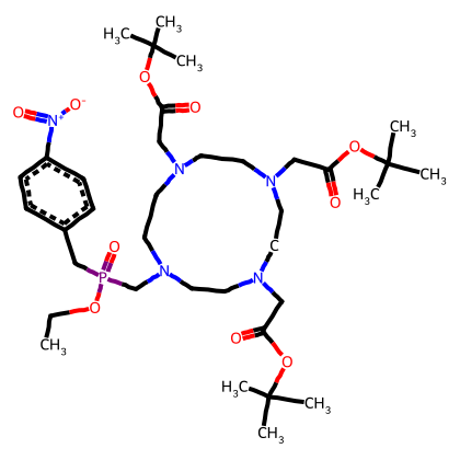 CCOP(=O)(Cc1ccc([N+](=O)[O-])cc1)CN1CCN(CC(=O)OC(C)(C)C)CCN(CC(=O)OC(C)(C)C)CCN(CC(=O)OC(C)(C)C)CC1